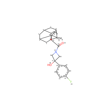 CC1C2CC3CC1CC(C2)C3(C)CC(=O)N1CC(O)(c2ccc(F)cc2)C1